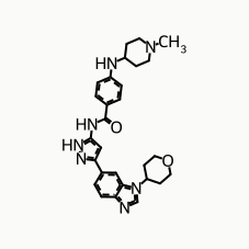 CN1CCC(Nc2ccc(C(=O)Nc3cc(-c4ccc5ncn(C6CCOCC6)c5c4)n[nH]3)cc2)CC1